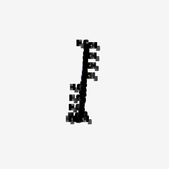 COC(C)(C)C(=O)/C=C/C(C)=C/C=C/C(C)=C/C=C/C(C)=C/C=C/C=C(C)/C=C/C=C(\C)CC/C=C(\C)CCC=C(C)C